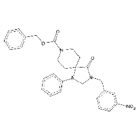 O=C(OCc1ccccc1)N1CCC2(CC1)C(=O)N(Cc1cccc([N+](=O)[O-])c1)CN2c1ccccc1